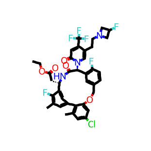 CCOC(=O)C[C@@H]1NC(=O)[C@@H](n2cc(CCN3CC(F)C3)c(C(F)(F)F)cc2=O)c2cc(ccc2F)COc2cc(Cl)cc(C)c2-c2cc(C)c(F)c1c2